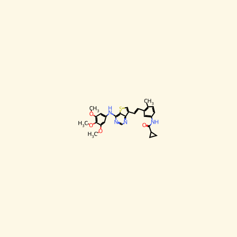 COc1cc(Nc2ncnc3c(C=Cc4cc(NC(=O)C5CC5)ccc4C)csc23)cc(OC)c1OC